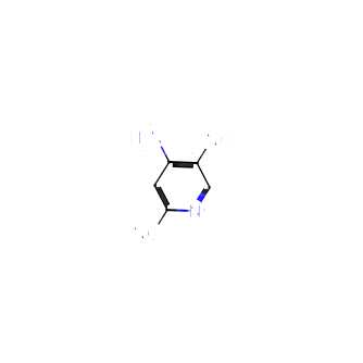 N#Cc1cc(N)c(N=O)cn1